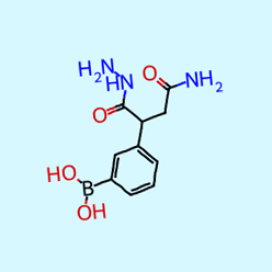 NNC(=O)C(CC(N)=O)c1cccc(B(O)O)c1